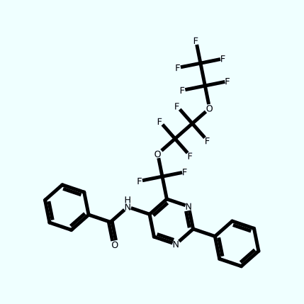 O=C(Nc1cnc(-c2ccccc2)nc1C(F)(F)OC(F)(F)C(F)(F)OC(F)(F)C(F)(F)F)c1ccccc1